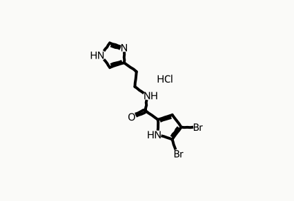 Cl.O=C(NCCc1c[nH]cn1)c1cc(Br)c(Br)[nH]1